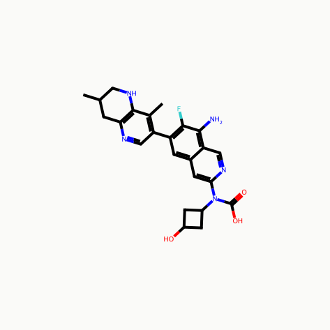 Cc1c(-c2cc3cc(N(C(=O)O)C4CC(O)C4)ncc3c(N)c2F)cnc2c1NCC(C)C2